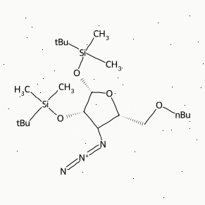 CCCCOC[C@H]1O[C@@H](O[Si](C)(C)C(C)(C)C)[C@@H](O[Si](C)(C)C(C)(C)C)C1N=[N+]=[N-]